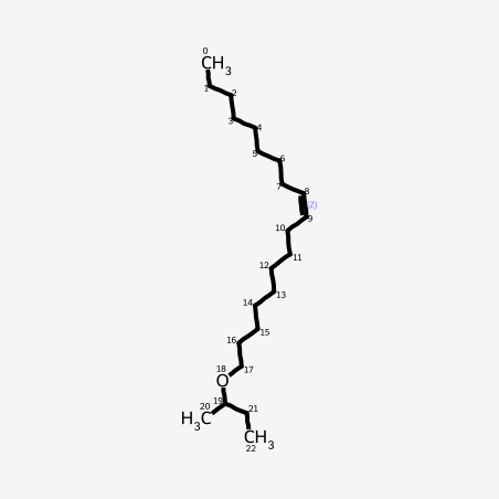 CCCCCCCC/C=C\CCCCCCCCOC(C)CC